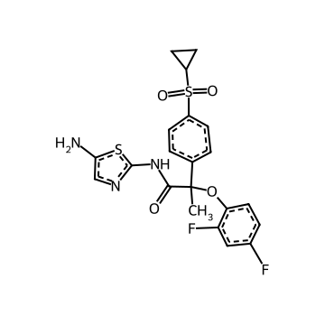 CC(Oc1ccc(F)cc1F)(C(=O)Nc1ncc(N)s1)c1ccc(S(=O)(=O)C2CC2)cc1